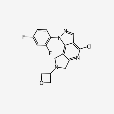 Fc1ccc(-n2ncc3c(Cl)nc4c(c32)CN(C2COC2)C4)c(F)c1